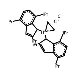 CC(C)C1=Cc2c(C(C)C)ccc(C(C)C)c2[CH]1[Hf+2]1([CH]2C(C(C)C)=Cc3c(C(C)C)ccc(C(C)C)c32)[CH2][CH2]1.[Cl-].[Cl-]